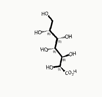 O=C(O)[C@@H](O)[C@H](O)[C@H](O)[C@@H](O)[C@H](O)CO